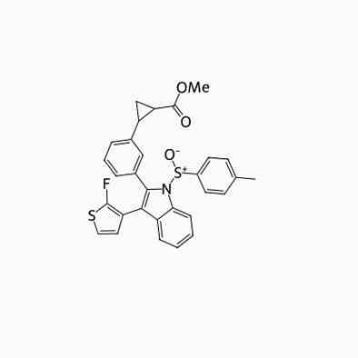 COC(=O)C1CC1c1cccc(-c2c(-c3ccsc3F)c3ccccc3n2[S+]([O-])c2ccc(C)cc2)c1